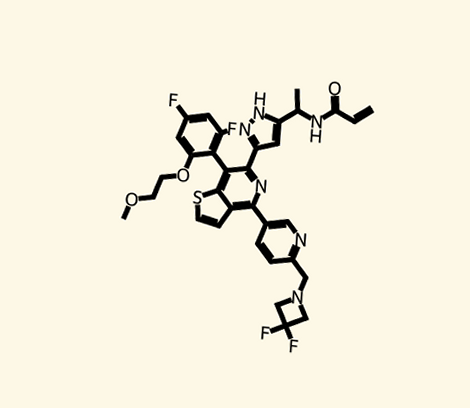 C=CC(=O)NC(C)c1cc(-c2nc(-c3ccc(CN4CC(F)(F)C4)nc3)c3ccsc3c2-c2c(F)cc(F)cc2OCCOC)n[nH]1